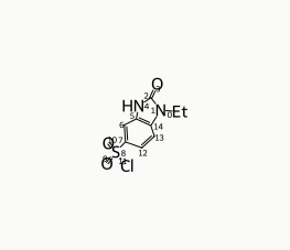 CCn1c(=O)[nH]c2cc(S(=O)(=O)Cl)ccc21